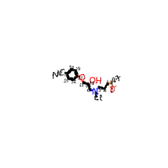 CCC[S+]([O-])CCCN(CC)C[C@H](O)COc1ccc(C#N)cc1